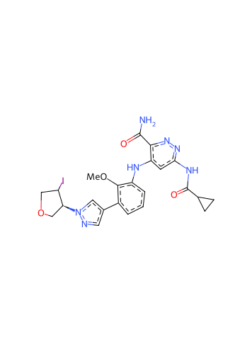 COc1c(Nc2cc(NC(=O)C3CC3)nnc2C(N)=O)cccc1-c1cnn([C@H]2COCC2I)c1